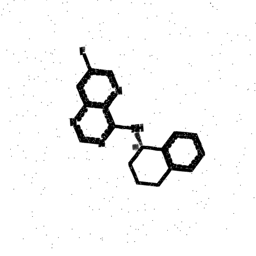 Fc1cnc2c(N[C@H]3CCCc4ccccc43)ncnc2c1